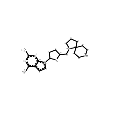 Cc1nc(N)c2ccn(C3CCC(CN4CCCC45CCNCC5)O3)c2n1